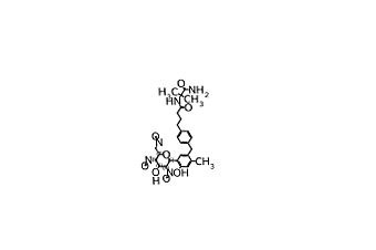 Cc1cc(O)c([C@@H]2O[C@H](CN=O)[C@@H](N=O)[C@H](O)[C@H]2N=O)cc1Cc1ccc(CCCC(=O)NC(C)(C)C(N)=O)cc1